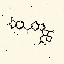 NC(=O)CC(n1ccc2cnc(Nc3ccc4[nH]ncc4c3)nc21)C1(C(=O)O)CCC1